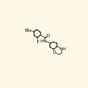 CC(C)(C)c1ccc(C(=O)Nc2ccc3c(c2)OCCN3)c(F)c1